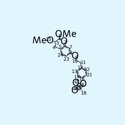 COC(=O)C(Cc1ccc(OCCc2ccc(OS(C)(=O)=O)cc2)cc1)OC